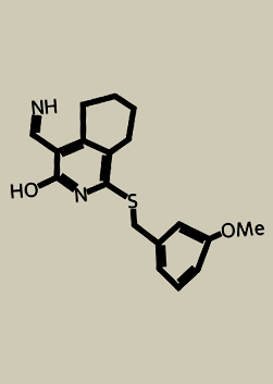 COc1cccc(CSc2nc(O)c(C=N)c3c2CCCC3)c1